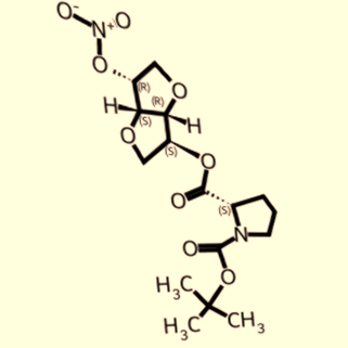 CC(C)(C)OC(=O)N1CCC[C@H]1C(=O)O[C@H]1CO[C@H]2[C@@H]1OC[C@H]2O[N+](=O)[O-]